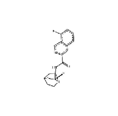 O=C(N[C@H]1CC2CCN1CC2)c1cc2cccc(F)c2cn1